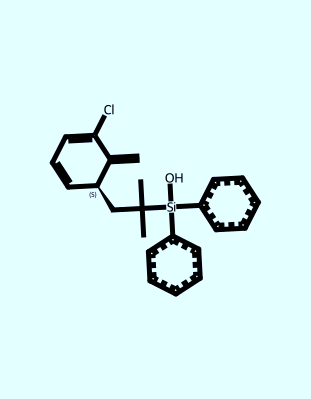 C=C1C(Cl)=CC=C[C@@H]1CC(C)(C)[Si](O)(c1ccccc1)c1ccccc1